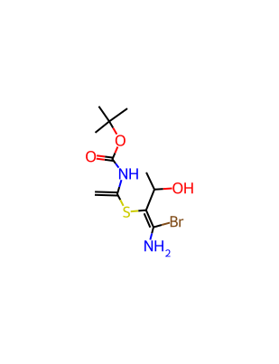 C=C(NC(=O)OC(C)(C)C)S/C(=C(\N)Br)C(C)O